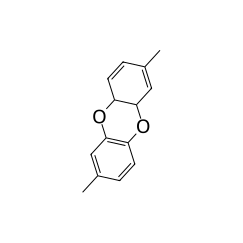 CC1=CC2Oc3ccc(C)cc3OC2C=C1